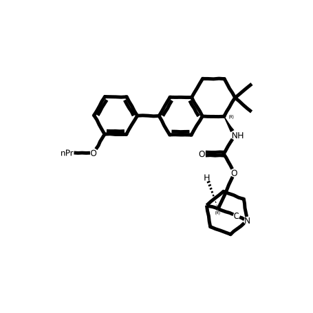 CCCOc1cccc(-c2ccc3c(c2)CCC(C)(C)[C@H]3NC(=O)O[C@H]2CN3CCC2CC3)c1